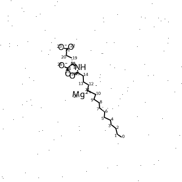 CCCCCCCCCCCCCCCC(=O)N[C@@H](CCC(=O)[O-])C(=O)[O-].[Mg+2]